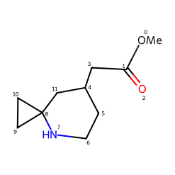 COC(=O)CC1CCNC2(CC2)C1